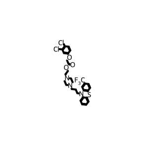 O=C(COc1ccc(Cl)c(Cl)c1)OCCN1CCN(CCCN2c3ccccc3Sc3ccc(C(F)(F)F)cc32)CC1